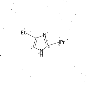 [CH2]Cc1c[nH]c(C(C)C)n1